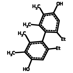 CCc1cc(O)c(C)c(C)c1-c1c(CC)cc(O)c(C)c1C